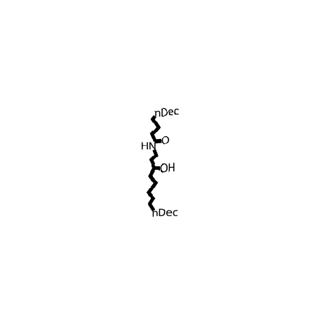 CCCCCCCCCCCCCCCC(O)CCNC(=O)CCCCCCCCCCCCC